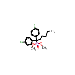 CCCCCC(c1ccc(F)cc1)(c1ccc(F)cc1)P(=O)(OC)OC